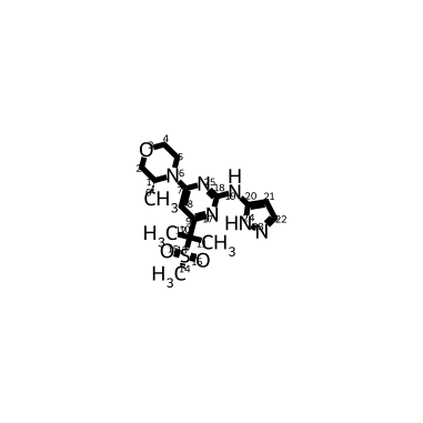 C[C@@H]1COCCN1c1cc(C(C)(C)S(C)(=O)=O)nc(Nc2ccn[nH]2)n1